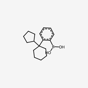 OB(O)c1ccccc1C1(C2CCCC2)CCCCC1